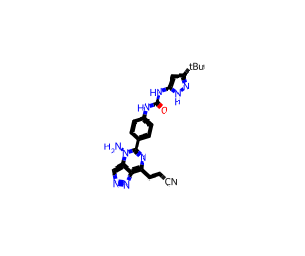 CC(C)(C)c1cc(NC(=O)Nc2ccc(-c3nc(CCC#N)c4nncc-4n3N)cc2)[nH]n1